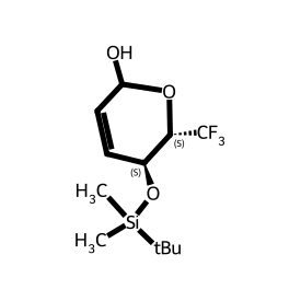 CC(C)(C)[Si](C)(C)O[C@H]1C=CC(O)O[C@@H]1C(F)(F)F